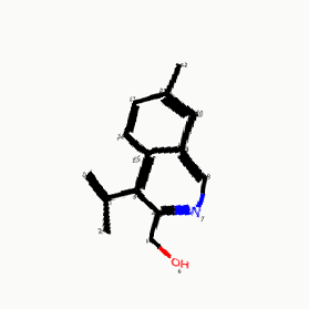 C=C(C)c1c(CO)ncc2cc(C)ccc12